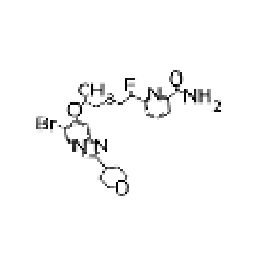 CC(CCCC(F)c1cccc(C(N)=O)n1)Oc1cc2nc(C3CCOCC3)cn2cc1Br